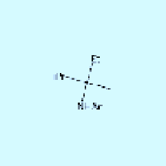 CCC(C)(NC(C)=O)C(C)C